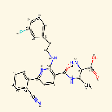 CC(NC(=O)c1ccc(-c2ccccc2C#N)nc1NCCc1cccc(F)c1)[C@@H](N)C(=O)O